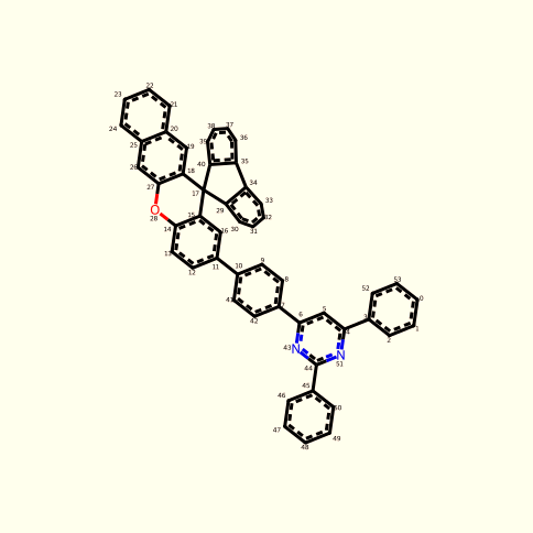 c1ccc(-c2cc(-c3ccc(-c4ccc5c(c4)C4(c6cc7ccccc7cc6O5)c5ccccc5-c5ccccc54)cc3)nc(-c3ccccc3)n2)cc1